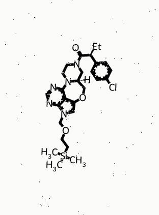 CC[C@H](C(=O)N1CCN2c3ncnc4c3c(cn4COCC[Si](C)(C)C)OC[C@@H]2C1)c1ccc(Cl)cc1